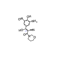 N#C/C(C(=O)N1CCCOC1)=C(/O)c1cc(N)c(O)c(N=O)c1